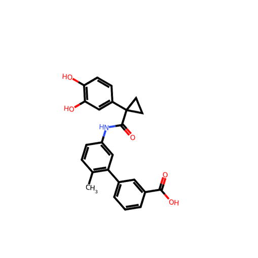 Cc1ccc(NC(=O)C2(c3ccc(O)c(O)c3)CC2)cc1-c1cccc(C(=O)O)c1